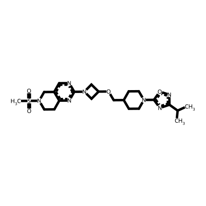 CC(C)c1noc(N2CCC(COC3CN(c4ncc5c(n4)CCN(S(C)(=O)=O)C5)C3)CC2)n1